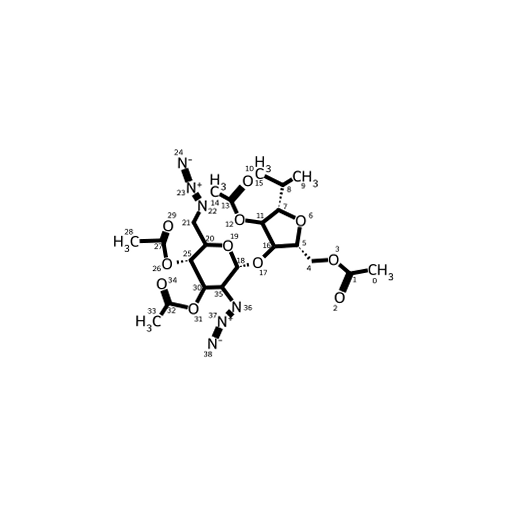 CC(=O)OC[C@H]1O[C@@H](C(C)C)C(OC(C)=O)C1O[C@H]1OC(CN=[N+]=[N-])[C@@H](OC(C)=O)C(OC(C)=O)C1N=[N+]=[N-]